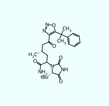 C[C@H](CC(=O)c1nnoc1C(C)(C)c1ccccc1)CC(C(N)=O)N1C(=O)NC(=O)[C@@H]1C(C)(C)C